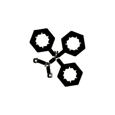 [Cl][Pt]([Cl])[PH](c1ccccc1)(c1ccccc1)c1ccccc1